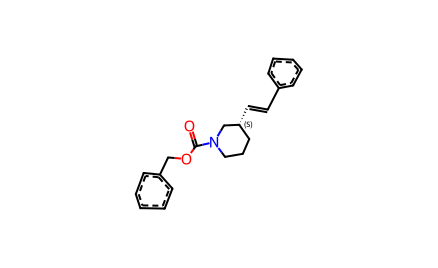 O=C(OCc1ccccc1)N1CCC[C@@H](C=Cc2ccccc2)C1